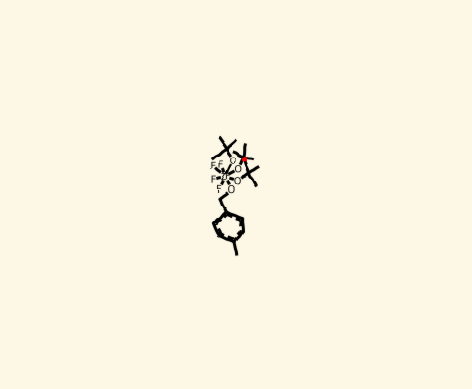 Cc1ccc(C[O][Zr]([F])([F])([F])([F])([O]C(C)(C)C)([O]C(C)(C)C)[O]C(C)(C)C)cc1